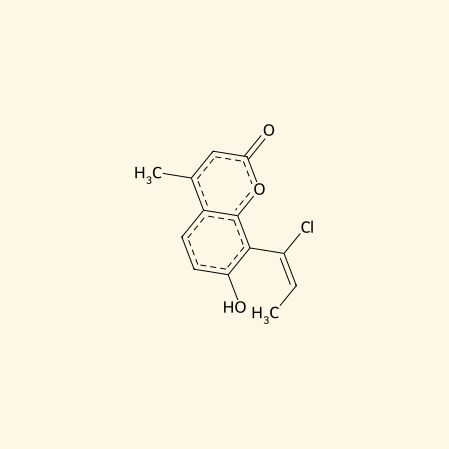 C/C=C(/Cl)c1c(O)ccc2c(C)cc(=O)oc12